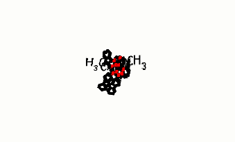 Cn1c2ccccc2c2c(N(c3ccccc3)c3ccc4c(c3)C3(c5ccccc5-c5ccc(N(c6ccc7c(c6)C(C)(C)c6ccccc6-7)c6ccccc6-c6ccccc6)cc53)c3ccccc3-4)cccc21